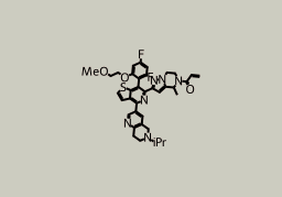 C=CC(=O)N1CCn2nc(-c3nc(-c4cnc5c(c4)CN(C(C)C)CC5)c4ccsc4c3-c3c(F)cc(F)cc3OCCOC)cc2C1C